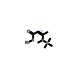 CCSC(=O)/C=C(/C)N(C)[Si](C)(C)C